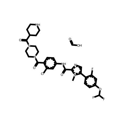 Cn1c(-c2ccc(OC(F)F)cc2F)cnc1C(=O)Nc1ccc(C(=O)N2CCN(C(=O)C3CCNCC3)CC2)c(Cl)c1.O=CO